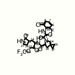 O=C(Nc1c(F)cccc1Cl)C(=O)N1CC2(CC2)CC1C(=O)NC(CC1CCNC1=O)C(=O)COC(F)(F)F